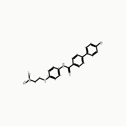 CCc1ccc(-c2ccc(C(=O)Nc3ccc(OCCN(CC)CC)cc3)cc2)cc1